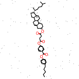 CCCCCc1ccc(OC(=O)c2ccc(OC(=O)CCC(=O)O[C@H]3CC[C@@]4(C)C(=CCC5C4CC[C@@]4(C)C5CC[C@@H]4C(C)CCCC(C)C)C3)cc2)cc1